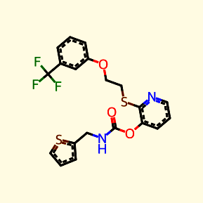 O=C(NCc1cccs1)Oc1cccnc1SCCOc1cccc(C(F)(F)F)c1